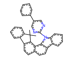 CC1(C)c2ccccc2-c2ccc3ccc4c5ccccc5n(-c5ncc(-c6ccccc6)cn5)c4c3c21